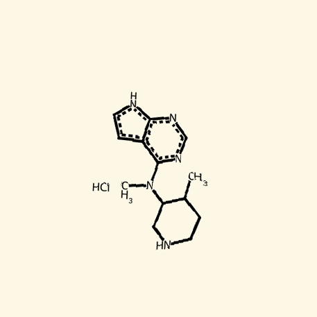 CC1CCNCC1N(C)c1ncnc2[nH]ccc12.Cl